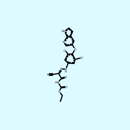 CCOC(=O)NC(=O)/C(C#N)=N\Nc1cc(Cl)c(Oc2cnc3[nH]ccc3c2)c(Cl)c1